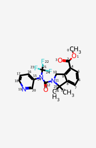 COC(=O)c1cccc2c1CN(C(=O)N(c1cccnc1)C(F)(F)F)C2(C)C